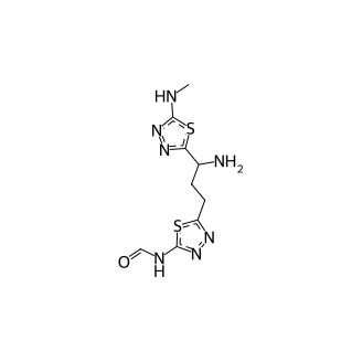 CNc1nnc(C(N)CCc2nnc(NC=O)s2)s1